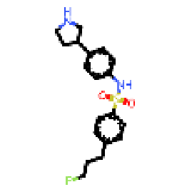 O=S(=O)(Nc1ccc(C2CCNC2)cc1)c1ccc(CCCF)cc1